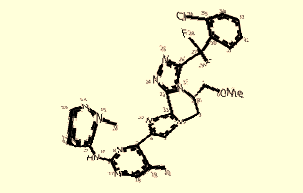 COC[C@H]1Cn2cc(-c3nc(Nc4ccnn4C)ncc3C)nc2-c2nnc(C(F)(F)c3ccccc3Cl)n21